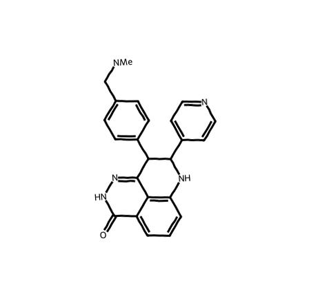 CNCc1ccc(C2c3n[nH]c(=O)c4cccc(c34)NC2c2ccncc2)cc1